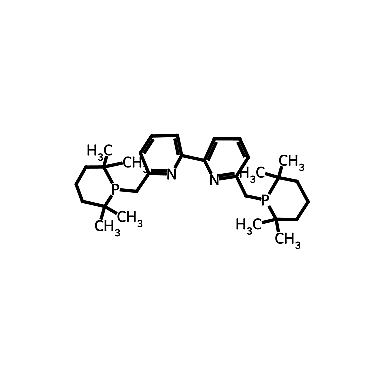 CC1(C)CCCC(C)(C)P1Cc1cccc(-c2cccc(CP3C(C)(C)CCCC3(C)C)n2)n1